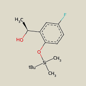 C[C@H](O)c1cc(F)ccc1O[Si](C)(C)C(C)(C)C